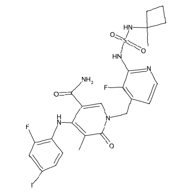 Cc1c(Nc2ccc(I)cc2F)c(C(N)=O)cn(Cc2ccnc(NS(=O)(=O)NC3(C)CCC3)c2F)c1=O